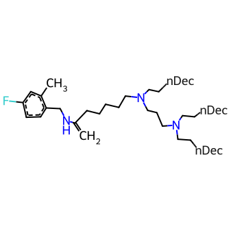 C=C(CCCCCN(CCCCCCCCCCCC)CCCN(CCCCCCCCCCCC)CCCCCCCCCCCC)NCc1ccc(F)cc1C